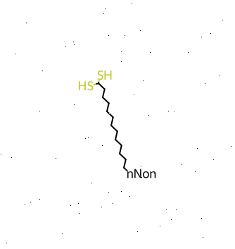 CCCCCCCCCCCCCCCCCCCCCC(S)S